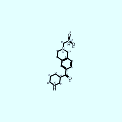 O=C(c1ccc2c(c1)CCN(C[SH](=O)=O)C2)C1CCCNC1